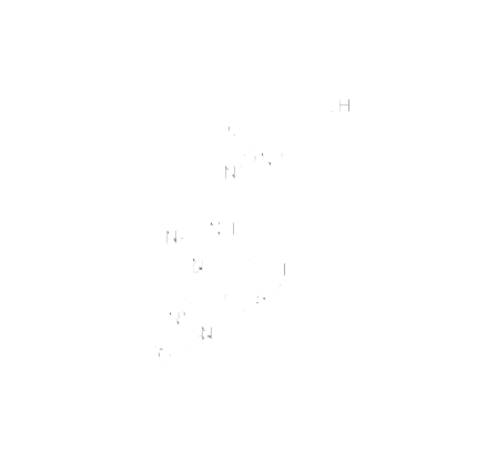 Cc1ccc(NC(=O)N2CCC[C@@H](Nc3nccc(-c4c(-c5ccc(F)cc5)nc5occn45)n3)C2)cc1